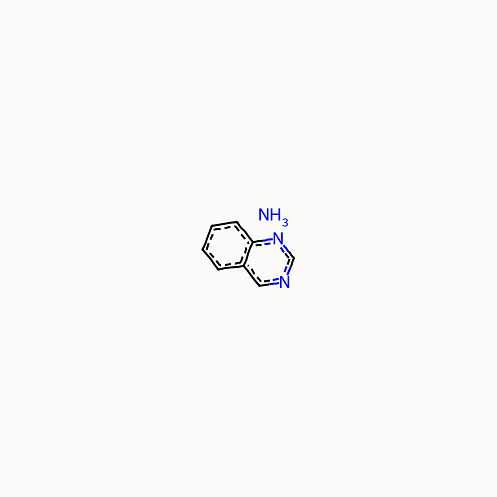 N.c1ccc2ncncc2c1